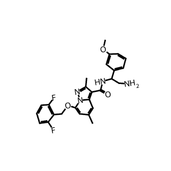 COc1cccc(C(CN)NC(=O)c2c(C)nn3c(OCc4c(F)cccc4F)cc(C)cc23)c1